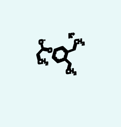 C=CC(=O)[O-].C=Cc1ccccc1C=C.[K+]